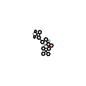 c1ccc(C2(c3ccccc3)c3ccccc3-c3c(N(c4ccc(-c5ccc6c(c5)-c5ccccc5C65c6ccccc6Sc6ccccc65)cc4)c4cc5ccccc5c5oc6ccccc6c45)cccc32)cc1